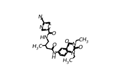 CCn1c(=O)c2cc(NC(=O)CC(C)CNC(=O)c3ccc(C#N)nc3)ccc2n(CC)c1=O